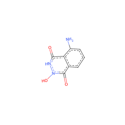 Nc1cccc2c(=O)n(O)[nH]c(=O)c12